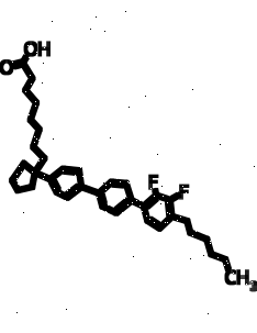 CCCCCCc1ccc(-c2ccc(-c3ccc(C4(CCCCCCCC(=O)O)CCCC4)cc3)cc2)c(F)c1F